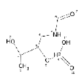 CC(O)C(CNC=O)O[PH](=O)O